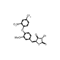 CCN1C(=O)/C(=C\c2ccc(Oc3ccc(C(F)(F)F)cc3[N+](=O)[O-])c(OC)c2)SC1=S